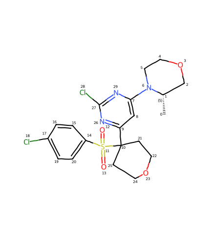 C[C@H]1COCCN1c1cc(C2(S(=O)(=O)c3ccc(Cl)cc3)CCOCC2)nc(Cl)n1